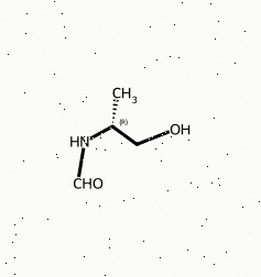 C[C@H](CO)NC=O